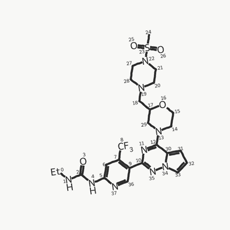 CCNC(=O)Nc1cc(C(F)(F)F)c(-c2nc(N3CCOC(CN4CCN(S(C)(=O)=O)CC4)C3)c3cccn3n2)cn1